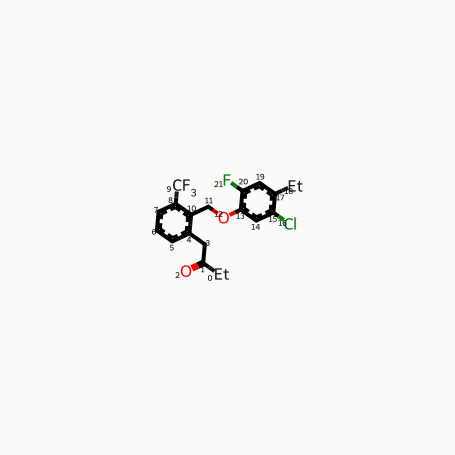 CCC(=O)Cc1cccc(C(F)(F)F)c1COc1cc(Cl)c(CC)cc1F